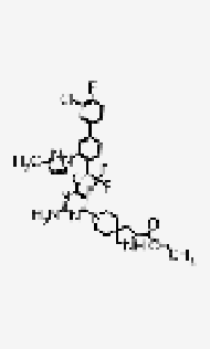 CCOC(=O)[C@@H]1CC2(CCN(c3cc(O[C@H](c4ccc(-c5ccc(F)c(Cl)c5)cc4-n4ccc(C)n4)C(F)(F)F)nc(N)n3)CC2)CN1